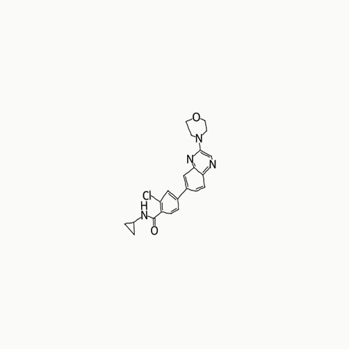 O=C(NC1CC1)c1ccc(-c2ccc3ncc(N4CCOCC4)nc3c2)cc1Cl